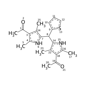 CC(=O)c1c(C)[nH]c(C(c2cccs2)c2[nH]c(C)c(C(C)=O)c2C)c1C